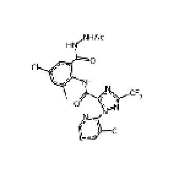 CC(=O)NNC(=O)c1cc(Cl)cc(C)c1NC(=O)c1nc(C(F)(F)F)nn1-c1ncccc1Cl